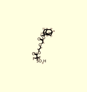 CC1(OC(=O)COCCOC(=O)C(F)(F)S(=O)(=O)O)C2CC3CC(C2)CC1C3